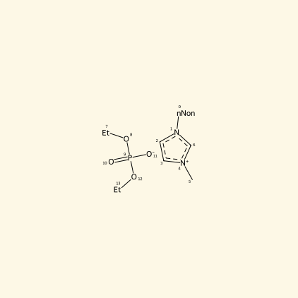 CCCCCCCCCn1cc[n+](C)c1.CCOP(=O)([O-])OCC